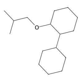 CC(C)COC1CCCCC1C1CCCCC1